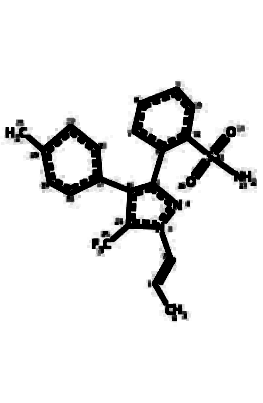 CC=Cn1nc(-c2ccccc2S(N)(=O)=O)c(-c2ccc(C)cc2)c1C(F)(F)F